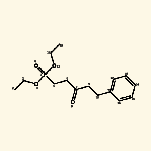 CCOP(=O)(CCC(=O)CCc1ccccc1)OCC